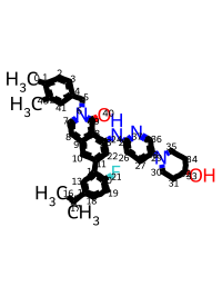 Cc1ccc(Cn2ccc3cc(-c4cc(C(C)C)ccc4F)cc(Nc4ccc(N5CCC(O)CC5)cn4)c3c2=O)cc1C